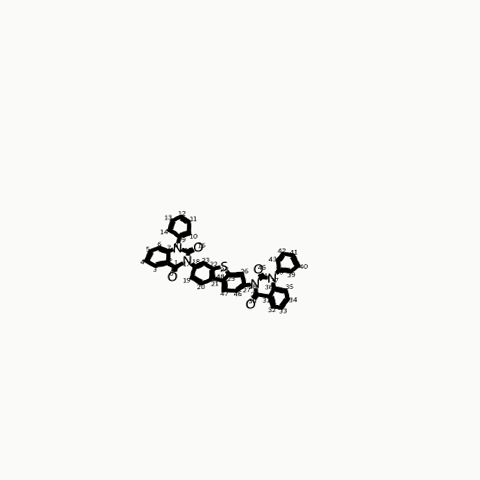 O=c1c2ccccc2n(-c2ccccc2)c(=O)n1-c1ccc2c(c1)sc1cc(-n3c(=O)c4ccccc4n(-c4ccccc4)c3=O)ccc12